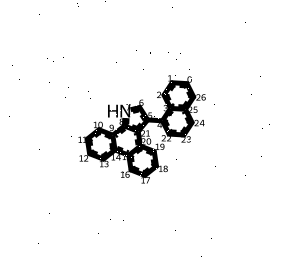 c1ccc2c(-c3c[nH]c4c5ccccc5c5ccccc5c34)cccc2c1